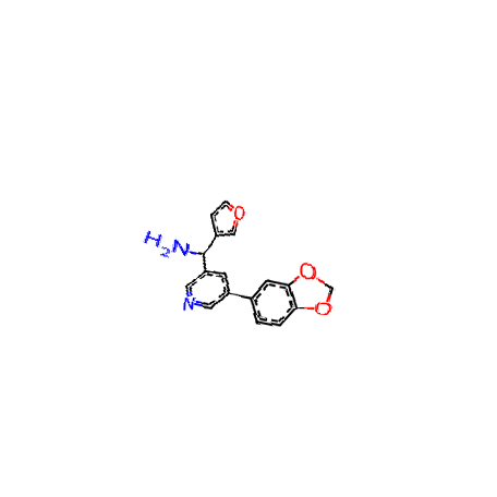 NC(c1ccoc1)c1cncc(-c2ccc3c(c2)OCO3)c1